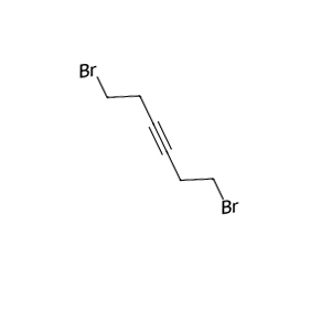 BrCCC#CCCBr